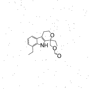 CCc1cccc2c3c([nH]c12)C(CC)(COC=O)OCC3